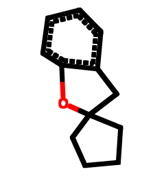 c1ccc2c(c1)CC1(CCCC1)O2